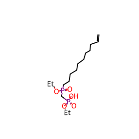 C=CCCCCCCCCCP(=O)(CP(=O)(O)OCC)OCC